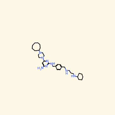 Nc1cc(N2CCN(C3CCCCCCC3)CC2)nc(NCc2ccc(CNCCCNC3CCCCC3)cc2)n1